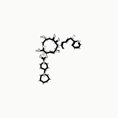 C/C(=C\C=C\[C@H](C)c1ccccn1)[C@H]1C(=O)C(=O)C[C@@H](O)CC[C@](C)(O)[C@@H](OC(=O)N2CCC(N3CCCCCC3)CC2)/C=C/[C@@H]1C